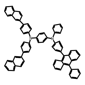 c1ccc(-c2c3ccccc3c(-c3ccc(N(c4ccccc4)c4ccc(N(c5ccc(-c6ccc7ccccc7c6)cc5)c5ccc(-c6ccc7ccccc7c6)cc5)cc4)cc3)c3ccccc23)cc1